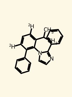 [2H]c1cc([2H])c(C(C)C)c(-n2ccnc2-c2ccccc2)c1-c1ccccc1